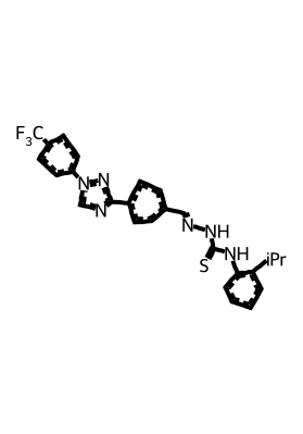 CC(C)c1ccccc1NC(=S)NN=Cc1ccc(-c2ncn(-c3ccc(C(F)(F)F)cc3)n2)cc1